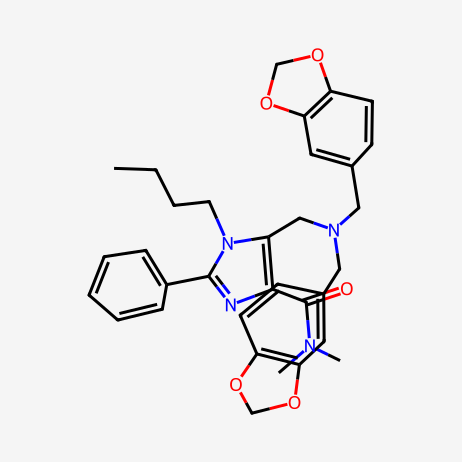 CCCCn1c(-c2ccccc2)nc(C(=O)N(C)C)c1CN(Cc1ccc2c(c1)OCO2)Cc1ccc2c(c1)OCO2